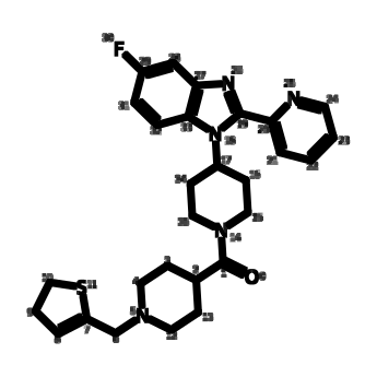 O=C(C1CCN(CC2=CCCS2)CC1)N1CCC(n2c(-c3ccccn3)nc3cc(F)ccc32)CC1